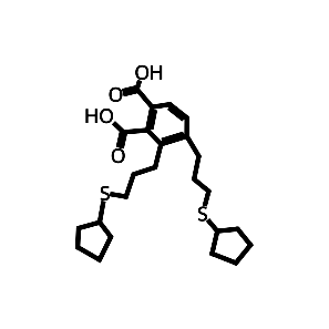 O=C(O)c1ccc(CCCSC2CCCC2)c(CCCSC2CCCC2)c1C(=O)O